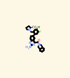 Nc1nc(C(=O)N2Cc3ccccc3C2)c2cc(-c3cc(F)c(F)cc3CN3CCC[C@H]3C(=O)O)ccc2n1